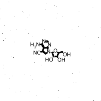 N#Cc1cn([C@@H]2OC(CO)C(O)[C@H]2O)c2ncnc(N)c12